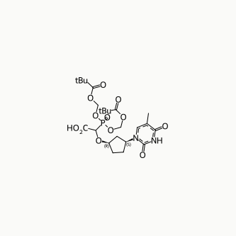 Cc1cn([C@H]2CC[C@@H](OC(C(=O)O)P(=O)(OCOC(=O)C(C)(C)C)OCOC(=O)C(C)(C)C)C2)c(=O)[nH]c1=O